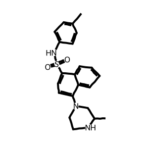 Cc1ccc(NS(=O)(=O)c2ccc(N3CCNC(C)C3)c3ccccc23)cc1